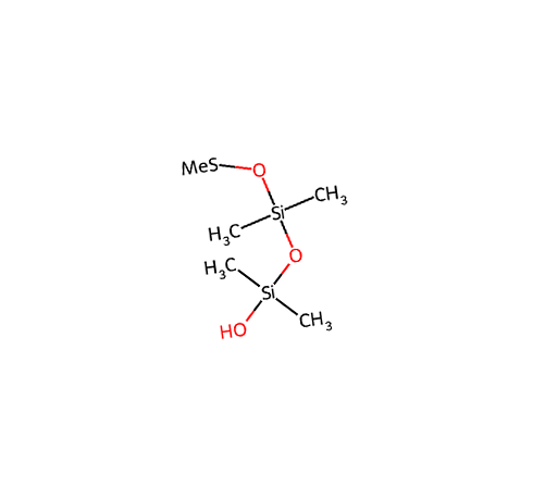 CSO[Si](C)(C)O[Si](C)(C)O